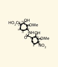 COc1c(NC(=O)c2ccc([N+](=O)[O-])c(OC)c2O)ccc(C(=O)O)c1O